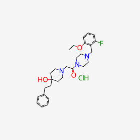 CCOc1cccc(F)c1CN1CCN(C(=O)CN2CCC(O)(CCc3ccccc3)CC2)CC1.Cl